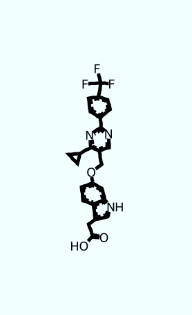 O=C(O)Cc1c[nH]c2cc(OCc3cnc(-c4ccc(C(F)(F)F)cc4)nc3C3CC3)ccc12